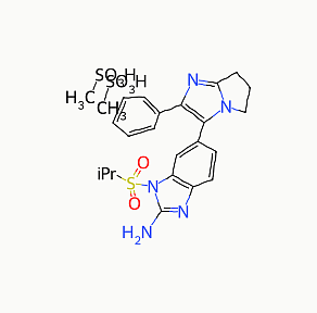 CC(C)S(=O)(=O)n1c(N)nc2ccc(-c3c(-c4ccccc4)nc4n3CCC4)cc21.CS(=O)(=O)O.CS(=O)(=O)O